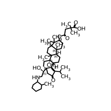 CC(C)C1=C2[C@H]3CC[C@@H]4[C@@]5(C)CC[C@H](OC(=O)CC(C)(C)C(=O)O)C(C)(C)[C@@H]5CC[C@@]4(C)[C@]3(C)CC[C@@]2([C@H](O)CNC2CCCCC2C)CC1=O